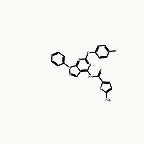 O=C(Nc1nc(Oc2ccc(F)cc2)nc2c1cnn2-c1ccccc1)c1ccc([N+](=O)[O-])s1